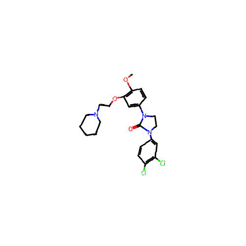 COc1ccc(N2CCN(c3ccc(Cl)c(Cl)c3)C2=O)cc1OCCN1CCCCC1